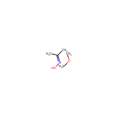 CC(C)=NO.CO[SiH3]